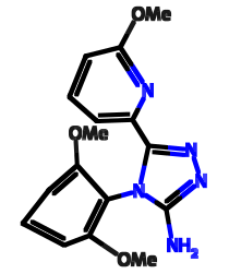 COc1cccc(-c2nnc(N)n2-c2c(OC)cccc2OC)n1